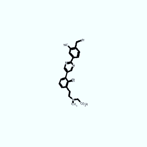 CCc1c(CCN(C)CC(=O)O)cccc1-c1cnc(-c2ccc(CC(C)C)c(C#N)c2)nc1